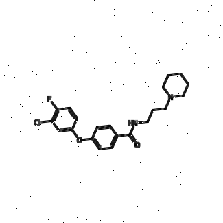 O=C(NCCCN1CCCCC1)c1ccc(Oc2ccc(F)c(Cl)c2)cc1